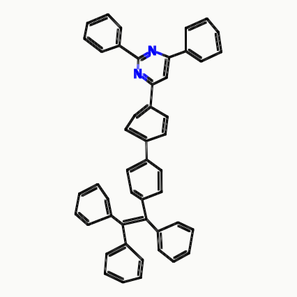 c1ccc(C(=C(c2ccccc2)c2ccc(-c3ccc(-c4cc(-c5ccccc5)nc(-c5ccccc5)n4)cc3)cc2)c2ccccc2)cc1